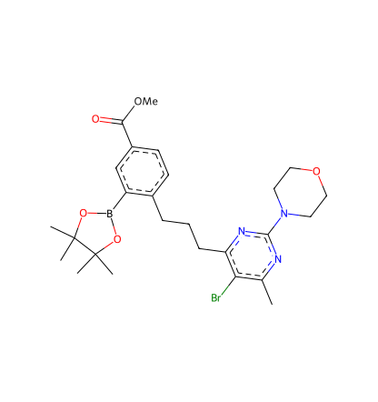 COC(=O)c1ccc(CCCc2nc(N3CCOCC3)nc(C)c2Br)c(B2OC(C)(C)C(C)(C)O2)c1